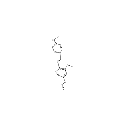 C=CCc1ccc(OCc2ccc(OC)cc2)c(SC)c1